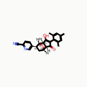 Cc1cc(C)c(C2=C(O)[C@@H]3[C@@H]4O[C@@H](C[C@H]4c4ccc(C#N)nc4)[C@@H]3C2=O)c(C)c1